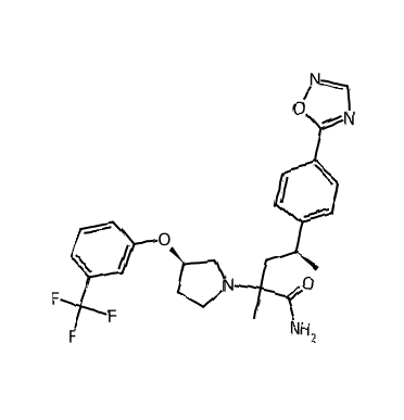 C[C@@H](CC(C)(C(N)=O)N1CC[C@@H](Oc2cccc(C(F)(F)F)c2)C1)c1ccc(-c2ncno2)cc1